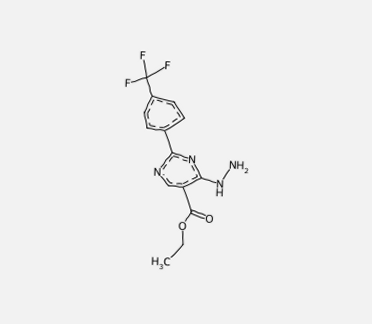 CCOC(=O)c1cnc(-c2ccc(C(F)(F)F)cc2)nc1NN